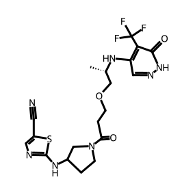 C[C@@H](COCCC(=O)N1CCC(Nc2ncc(C#N)s2)C1)Nc1cn[nH]c(=O)c1C(F)(F)F